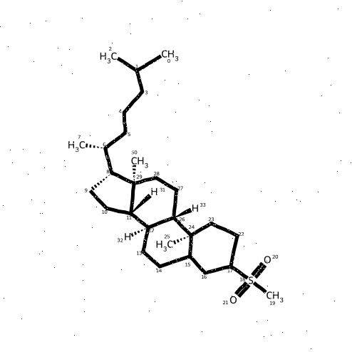 CC(C)CCC[C@@H](C)[C@H]1CC[C@H]2[C@@H]3CCC4CC(S(C)(=O)=O)CC[C@]4(C)[C@H]3CC[C@]12C